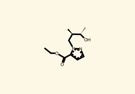 CCOC(=O)c1ccnn1C[C@@H](C)[C@H](C)O